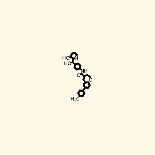 Cc1ccc(-c2ccc3c(c2)C=C(C(=O)Nc2ccc(C(O)c4ncccc4O)cc2)CCO3)cc1